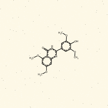 COc1cc(OC)c2c(=O)[nH]c(-c3cc(OC)c(O)c(OC)c3)nc2c1